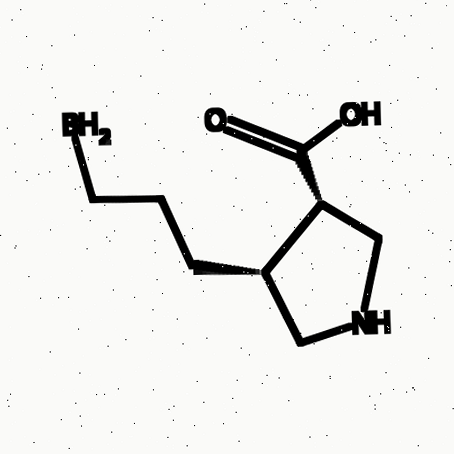 BCCC[C@H]1CNC[C@H]1C(=O)O